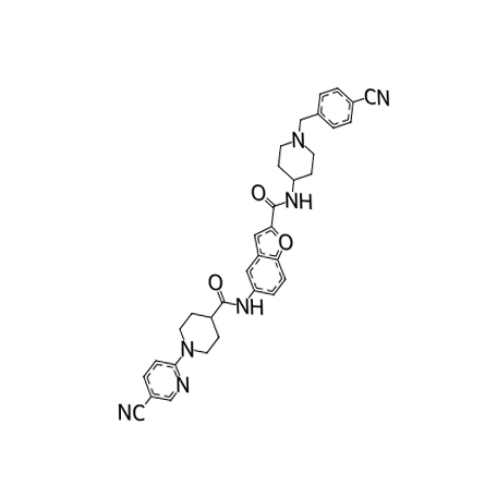 N#Cc1ccc(CN2CCC(NC(=O)c3cc4cc(NC(=O)C5CCN(c6ccc(C#N)cn6)CC5)ccc4o3)CC2)cc1